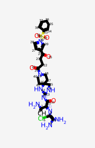 C=C(N)/C(=N\C(Cl)=C(N)N)C(=O)/N=C1\NCC2(CCN(C(=O)CCC(=O)c3ccn(S(=O)(=O)C4=CCCC=C4)c3)CC2)N1